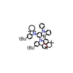 CC(C)(C)c1ccc(N2c3cc4c(cc3B3c5ccccc5N(c5ccccc5)c5cc(N6c7ccc(C(C)(C)C)cc7C7(C)CCCCCC67C)cc2c53)C(C)(C)CCC4(C)C)c(-c2ccccc2)c1